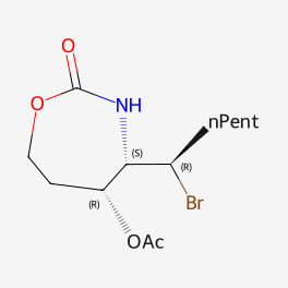 CCCCC[C@@H](Br)[C@H]1NC(=O)OCC[C@H]1OC(C)=O